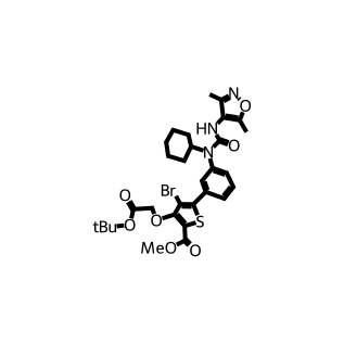 COC(=O)c1sc(-c2cccc(N(C(=O)Nc3c(C)noc3C)C3CCCCC3)c2)c(Br)c1OCC(=O)OC(C)(C)C